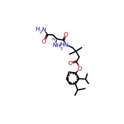 CC(C)c1cccc(OC(=O)CC(C)(C)CNC(=O)[C@@H](N)CC(N)=O)c1C(C)C